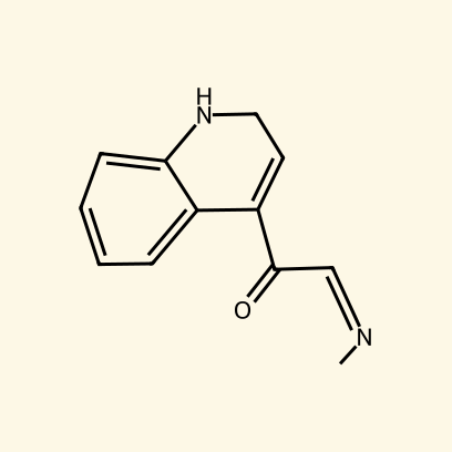 C/N=C\C(=O)C1=CCNc2ccccc21